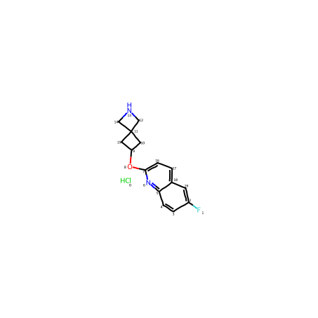 Cl.Fc1ccc2nc(OC3CC4(CNC4)C3)ccc2c1